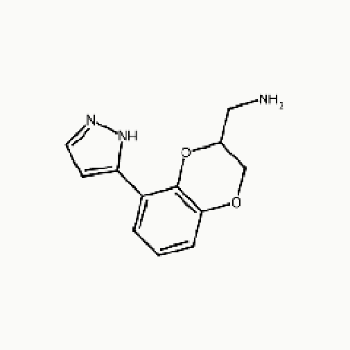 NCC1COc2cccc(-c3ccn[nH]3)c2O1